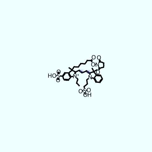 CCC[N+]1=C(/C=C/C=C2\N(CCCS(=O)(=O)O)c3ccccc3C2(C)C)C(C)(CCCCCC(=O)ON2C(=O)CCC2=O)c2cc(S(=O)(=O)O)ccc21